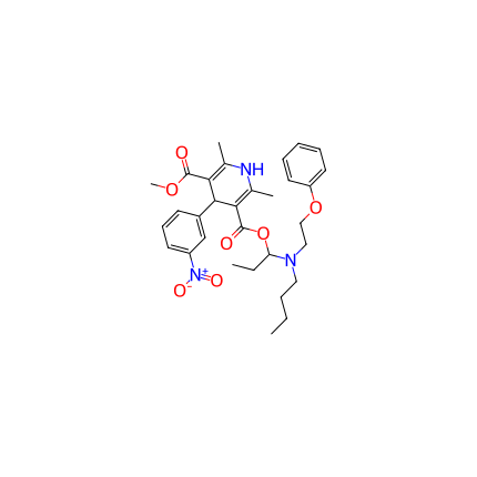 CCCCN(CCOc1ccccc1)C(CC)OC(=O)C1=C(C)NC(C)=C(C(=O)OC)C1c1cccc([N+](=O)[O-])c1